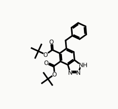 CC(C)(C)OC(=O)c1c(Cc2ccccc2)cc2[nH]nnc2c1C(=O)OC(C)(C)C